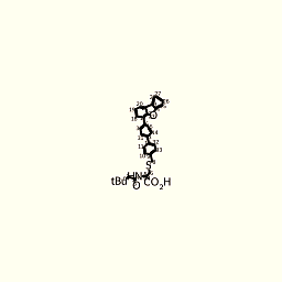 CC(C)(C)CC(=O)N[C@@H](CSCc1ccc(-c2ccc(-c3cccc4c3oc3ccccc34)cc2)cc1)C(=O)O